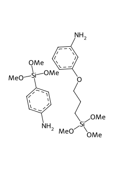 CO[Si](CCCOc1cccc(N)c1)(OC)OC.CO[Si](OC)(OC)c1ccc(N)cc1